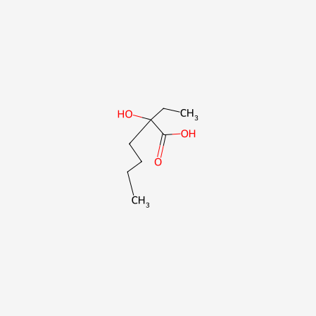 CCCCC(O)(CC)C(=O)O